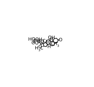 CC1C[C@H]2[C@@H]3CCC4=CC(=O)CC[C@]4(C)[C@H]3[C@@H](O)C[C@]2(C)[C@@]1(O)C(=O)COP(=O)(O)O